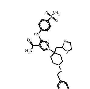 CS(=O)(=O)c1ccc(Nc2nn(C3(CC4SCCS4)CCC(OCc4ccccc4)CC3)cc2C(N)=O)cc1